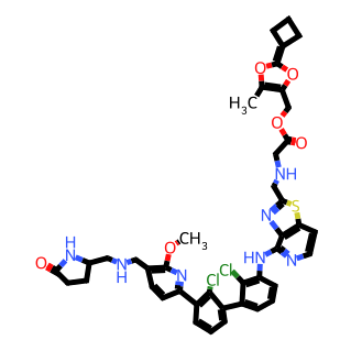 COc1nc(-c2cccc(-c3cccc(Nc4nccc5sc(CNCC(=O)OCC6=C(C)OC(=C7CCC7)O6)nc45)c3Cl)c2Cl)ccc1CNCC1CCC(=O)N1